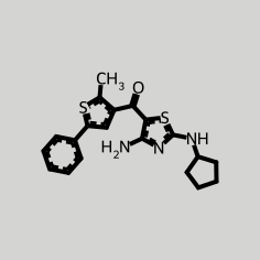 Cc1sc(-c2ccccc2)cc1C(=O)c1sc(NC2CCCC2)nc1N